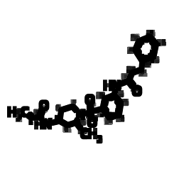 C=CC(=O)NC1CCN(S(=O)(=O)c2cccc(NC(=O)CCc3ccccc3)c2)C(C)C1